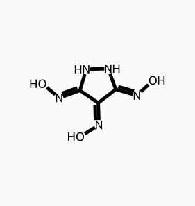 ON=C1NNC(=NO)C1=NO